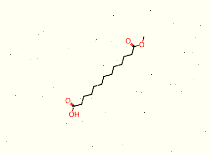 COC(=O)CCCCCCCCCCCC(=O)O